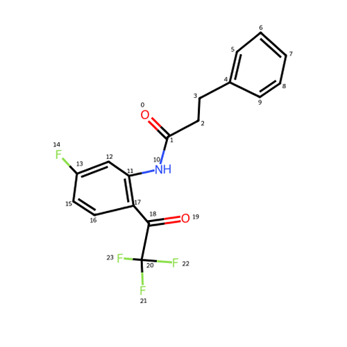 O=C(CCc1ccccc1)Nc1cc(F)ccc1C(=O)C(F)(F)F